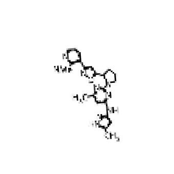 CNc1ncccc1-c1cc(C2CCCN2c2nc(C)cc(Nc3cc(C)[nH]n3)n2)on1